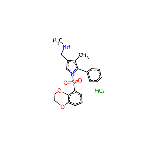 CNCc1cn(S(=O)(=O)c2cccc3c2OCCO3)c(-c2ccccc2)c1C.Cl